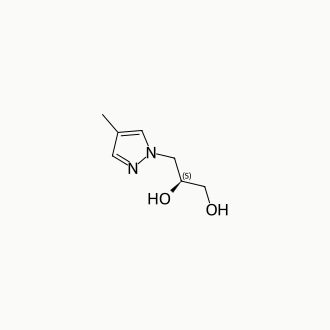 Cc1cnn(C[C@H](O)CO)c1